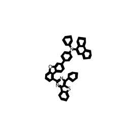 c1ccc(-c2nc(-c3cccc4oc5cc(-c6ccc(N(c7ccccc7)c7cc8ccccc8c8ccccc78)cc6)ccc5c34)nc3c2sc2ccccc23)cc1